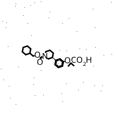 CC(C)(Oc1cccc([C@@H]2CCCN(C(=O)OCC3CCCCC3)C2)c1)C(=O)O